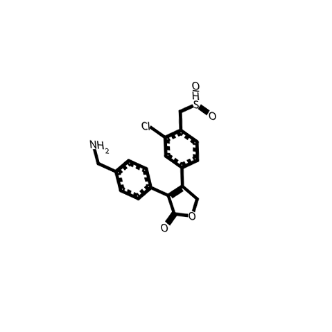 NCc1ccc(C2=C(c3ccc(C[SH](=O)=O)c(Cl)c3)COC2=O)cc1